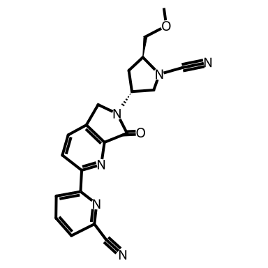 COC[C@@H]1C[C@@H](N2Cc3ccc(-c4cccc(C#N)n4)nc3C2=O)CN1C#N